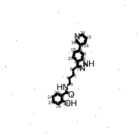 O=C(NCCCCc1n[nH]c2cc(-c3cccnc3)ccc12)c1ccccc1O